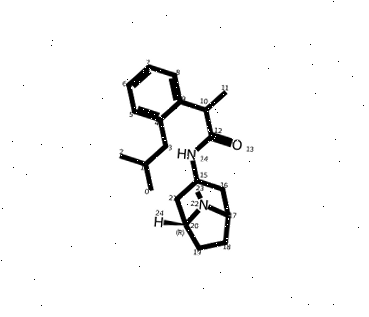 CC(C)Cc1ccccc1C(C)C(=O)NC1CC2CC[C@H](C1)N2C